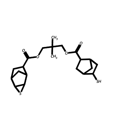 CC(C)(COC(=O)C1CC2CC1CC2S)COC(=O)C1CC2CC1C1SC21